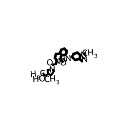 Cn1ncc2cc(Nc3cccc4ccn(CC(=O)N5CCC(C(C)(C)O)C5)c(=O)c34)ccc21